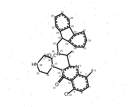 CC(c1nc2c(F)ccc(Cl)c2c(=O)n1N1CCNCC1)N(CC1c2ccccc2-c2ccccc21)C(=O)O